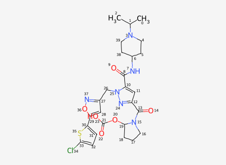 CC(C)N1CCC(NC(=O)c2cc(C(=O)N3CCCC3OC(=O)O)nn2Cc2cc(-c3ccc(Cl)s3)on2)CC1